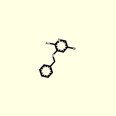 CC(=O)c1ncc(Br)cc1SCc1ccccc1